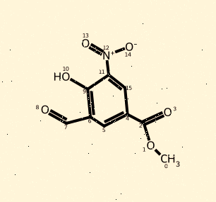 COC(=O)c1cc(C=O)c(O)c([N+](=O)[O-])c1